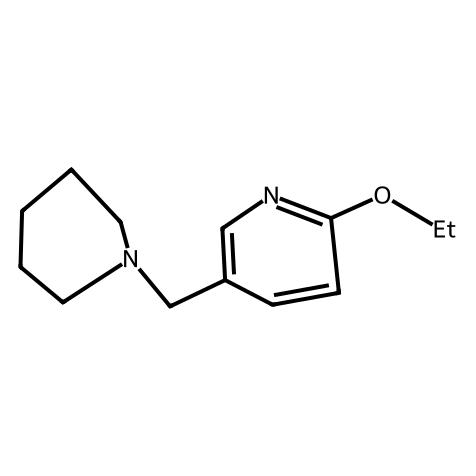 CCOc1ccc(CN2CCCCC2)cn1